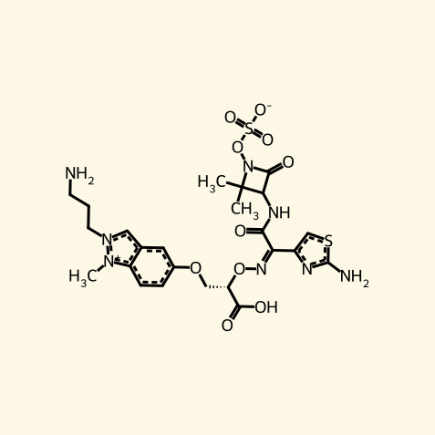 C[n+]1c2ccc(OC[C@H](O/N=C(\C(=O)NC3C(=O)N(OS(=O)(=O)[O-])C3(C)C)c3csc(N)n3)C(=O)O)cc2cn1CCCN